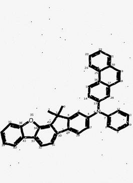 CC1(C)c2cc(N(c3ccccc3)c3ccc4c(ccc5ccccc54)c3)ccc2-c2ccc3c(oc4ccccc43)c21